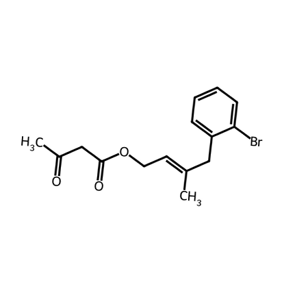 CC(=O)CC(=O)OCC=C(C)Cc1ccccc1Br